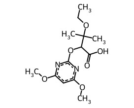 CCOC(C)(C)C(Oc1nc(OC)cc(OC)n1)C(=O)O